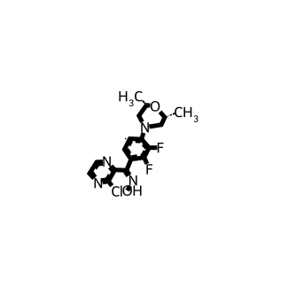 C[C@@H]1CN(c2[c]cc(C(=NO)c3nccnc3Cl)c(F)c2F)C[C@H](C)O1